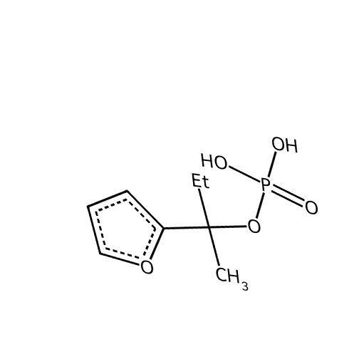 CCC(C)(OP(=O)(O)O)c1ccco1